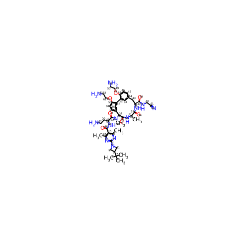 Cc1nc(N2CC(C(C)(C)C)C2)nc(C)c1C(=O)N[C@@H](CCN)C(=O)N(C)[C@@H]1C(=O)N[C@@H](C)C(=O)N[C@H](C(=O)NCC#N)Cc2ccc(OCCN)c(c2)-c2cc1ccc2OCCN